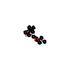 c1ccc(N2c3ccccc3C3(c4ccccc4)c4cc(-c5ccc(N(c6ccc7c(c6)C(c6ccccc6)(c6ccccc6)c6ccccc6-7)c6ccc7oc8ccccc8c7c6)cc5)ccc4-c4cccc2c43)cc1